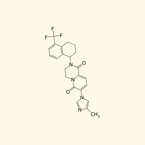 Cc1cn(-c2ccc3n(c2=O)CCN(C2CCCc4c2cccc4C(F)(F)F)C3=O)cn1